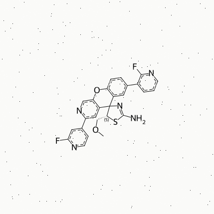 COC[C@H]1SC(N)=NC12c1cc(-c3cccnc3F)ccc1Oc1cnc(-c3ccnc(F)c3)cc12